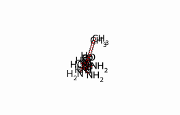 CCCCCCCCCCCCCCCC(=O)OCC(CN[C@@H](CS)C(=O)NC(CO)C(=O)CC(CCCCN)C(=O)NC(CCCCN)C(=O)NC(C=O)CCCCN)OC(=O)CCCCCCCCCCCCCCC